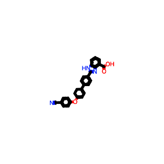 N#Cc1ccc(OC2=CC=C(c3ccc(-c4nc5c(C(=O)O)cccc5[nH]4)cc3)CC2)cc1